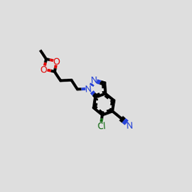 CC1OC(CCCn2ncc3cc(C#N)c(Cl)cc32)O1